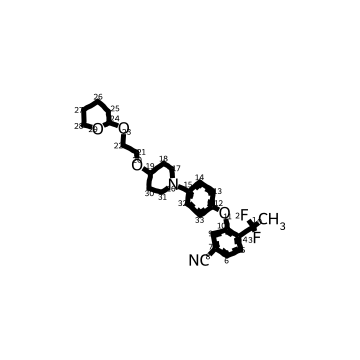 CC(F)(F)c1ccc(C#N)cc1Oc1ccc(N2CCC(OCCOC3CCCCO3)CC2)cc1